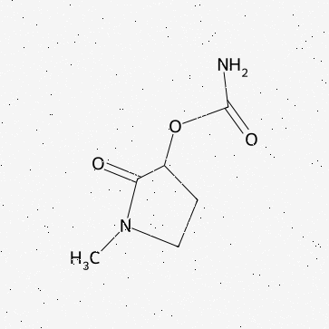 CN1CCC(OC(N)=O)C1=O